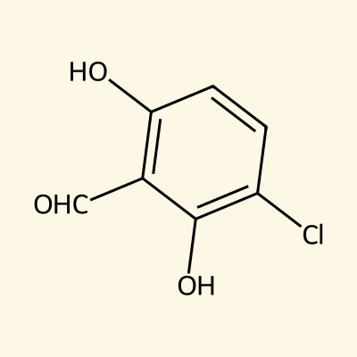 O=Cc1c(O)ccc(Cl)c1O